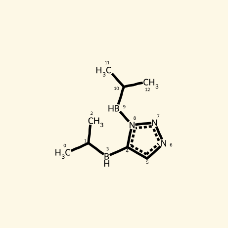 CC(C)Bc1cnnn1BC(C)C